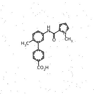 Cc1ccc(NC(=O)c2cccn2C)cc1-c1ccc(C(=O)O)cc1